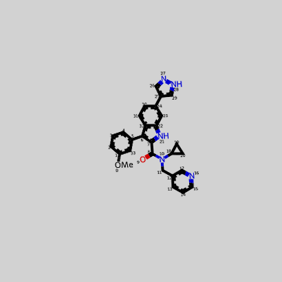 COc1cccc(-c2c(C(=O)N(Cc3cccnc3)C3CC3)[nH]c3cc(-c4cn[nH]c4)ccc23)c1